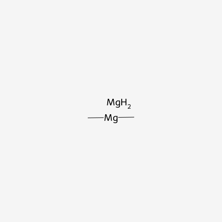 [CH3][Mg][CH3].[MgH2]